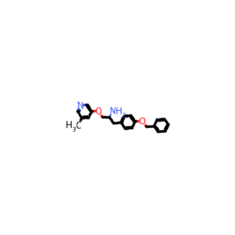 Cc1cncc(OC[C@@H](N)Cc2ccc(OCc3ccccc3)cc2)c1